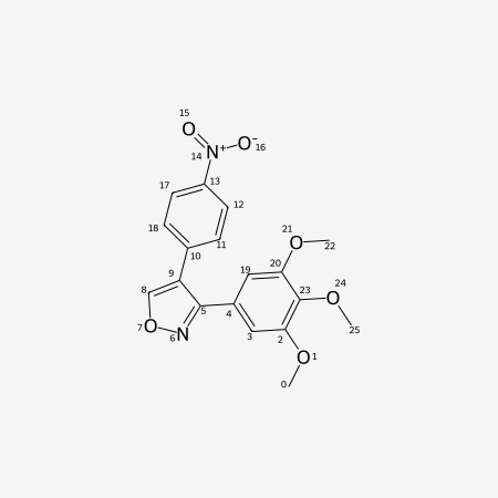 COc1cc(-c2nocc2-c2ccc([N+](=O)[O-])cc2)cc(OC)c1OC